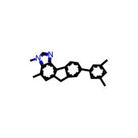 Cc1cc(C)cc(-c2ccc3c(c2)Cc2cc(C)c4c(ncn4C)c2-3)c1